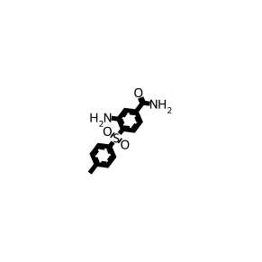 Cc1ccc(S(=O)(=O)c2ccc(C(N)=O)cc2N)cc1